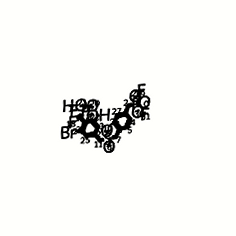 O=P(Cc1ccc(CS(=O)(=O)Cc2ccc(C(F)(F)P(=O)(O)O)c(Br)c2)cc1)(OF)OF